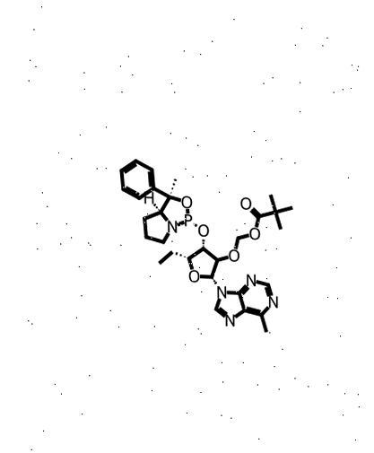 CC[C@H]1O[C@@H](n2cnc3c(C)ncnc32)C(OCOC(=O)C(C)(C)C)[C@H]1O[P@@]1O[C@](C)(c2ccccc2)[C@@H]2CCCN21